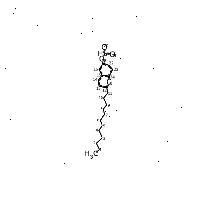 CCCCCCCCCCCCc1ccc2cc(O[SH](=O)=O)ccc2c1